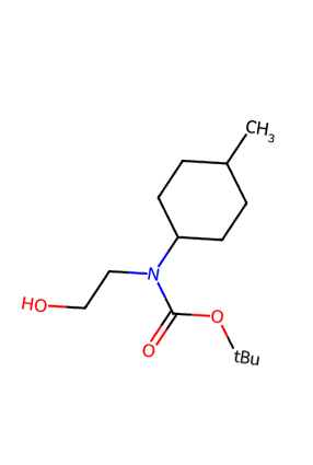 CC1CCC(N(CCO)C(=O)OC(C)(C)C)CC1